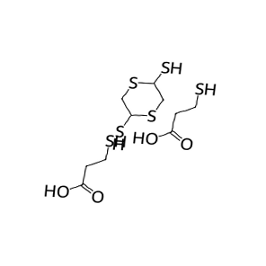 O=C(O)CCS.O=C(O)CCS.SC1CSC(S)CS1